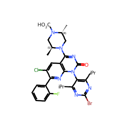 CC(C)c1nc(Br)nc(C(C)C)c1-n1c(=O)nc(N2C[C@@H](C)N(C(=O)O)C[C@@H]2C)c2cc(Cl)c(-c3ccccc3F)nc21